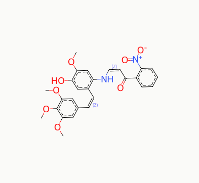 COc1cc(N/C=C\C(=O)c2ccccc2[N+](=O)[O-])c(/C=C\c2cc(OC)c(OC)c(OC)c2)cc1O